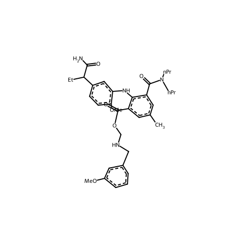 [CH2]CC(C(N)=O)c1ccc(OC)c(Nc2c(C(=O)OCNCc3cccc(OC)c3)cc(C)cc2C(=O)N(CCC)CCC)c1